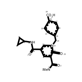 CNC(=O)c1cc(C(=O)NC2CC2)cn(Cc2ccc(C(=O)O)cc2)c1=O